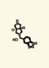 Cl.c1cc2[nH]nnc2cc1CN1C[C@H]2CNC[C@@H]2C1